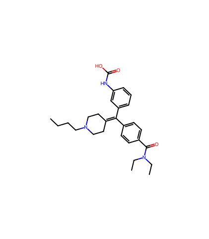 CCCCN1CCC(=C(c2ccc(C(=O)N(CC)CC)cc2)c2cccc(NC(=O)O)c2)CC1